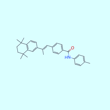 C/C(=C\c1ccc(C(=O)Nc2ccc(C)cc2)cc1)c1ccc2c(c1)C(C)(C)CCC2(C)C